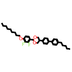 CCCCCCCCCOc1ccc(C2OCC(c3ccc(-c4ccc(CCCCC)cc4)cc3)CO2)c(F)c1F